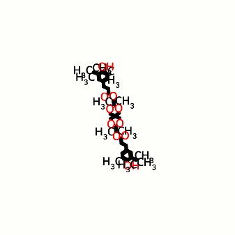 Cc1cc(CCC(=O)OC(C)(C)C2OCC3(CO2)COC(C(C)(C)OC(=O)CCc2cc(C)c(O)c(C(C)(C)C)c2)OC3)cc(C(C)(C)C)c1O